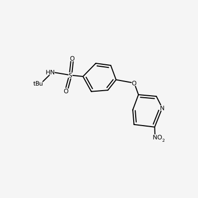 CC(C)(C)NS(=O)(=O)c1ccc(Oc2ccc([N+](=O)[O-])nc2)cc1